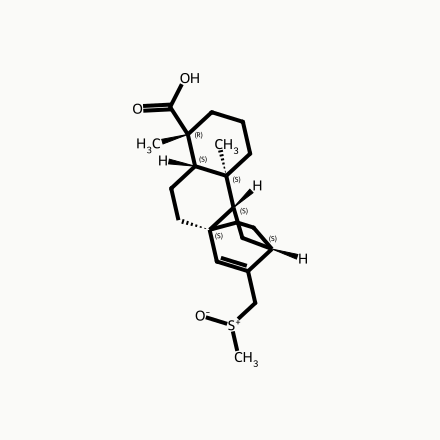 C[S+]([O-])CC1=C[C@]23CC[C@H]1C[C@H]2[C@]1(C)CCC[C@@](C)(C(=O)O)[C@H]1CC3